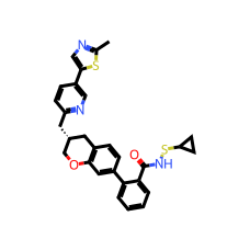 Cc1ncc(-c2ccc(C[C@H]3COc4cc(-c5ccccc5C(=O)NSC5CC5)ccc4C3)nc2)s1